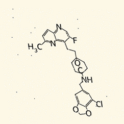 Cc1ccc2ncc(F)c(CCC34CCC(NCc5cc(Cl)c6c(c5)OCO6)(CC3)CO4)c2n1